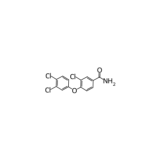 NC(=O)c1ccc(Oc2ccc(Cl)c(Cl)c2)c(Cl)c1